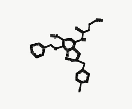 COCCC(=O)Nc1cc(C(=O)O)c(OCc2ccccc2)c2ncc(Cc3ccc(F)cc3)cc12